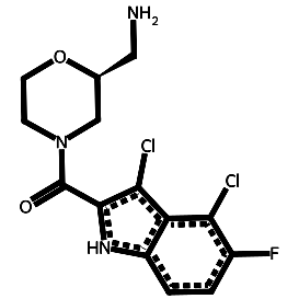 NC[C@H]1CN(C(=O)c2[nH]c3ccc(F)c(Cl)c3c2Cl)CCO1